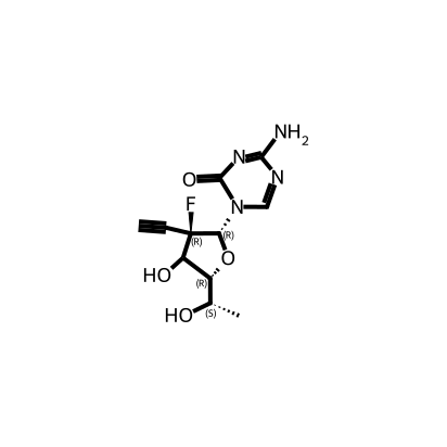 C#C[C@@]1(F)C(O)[C@@H]([C@H](C)O)O[C@H]1n1cnc(N)nc1=O